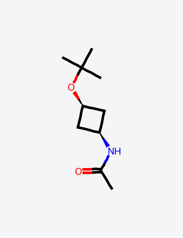 CC(=O)N[C@H]1C[C@@H](OC(C)(C)C)C1